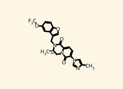 Cc1cn(-c2ccc3n(c2=O)C[C@@H](C)N(Cc2coc4ccc(OC(F)(F)F)cc24)C3=O)cn1